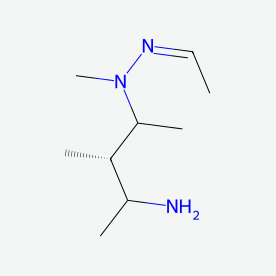 C/C=N\N(C)C(C)[C@@H](C)C(C)N